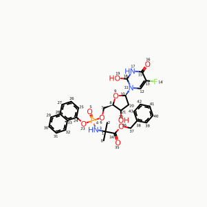 CC(C)(NP(=O)(OC[C@H]1O[C@@H](N2C=C(F)C(=O)NC2O)CC1O)Oc1cccc2ccccc12)C(=O)OCc1ccccc1